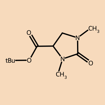 CN1CC(C(=O)OC(C)(C)C)N(C)C1=O